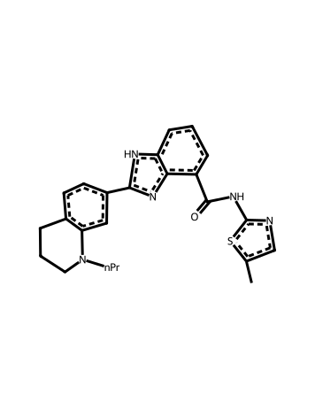 CCCN1CCCc2ccc(-c3nc4c(C(=O)Nc5ncc(C)s5)cccc4[nH]3)cc21